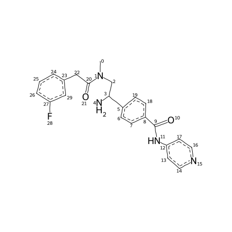 CN(CC(N)c1ccc(C(=O)Nc2ccncc2)cc1)C(=O)Cc1cccc(F)c1